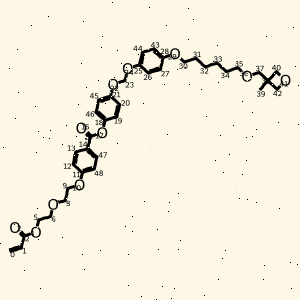 C=CC(=O)OCCOCCOc1ccc(C(=O)Oc2ccc(OCOc3ccc(OCCCCCCOCC4(C)COC4)cc3)cc2)cc1